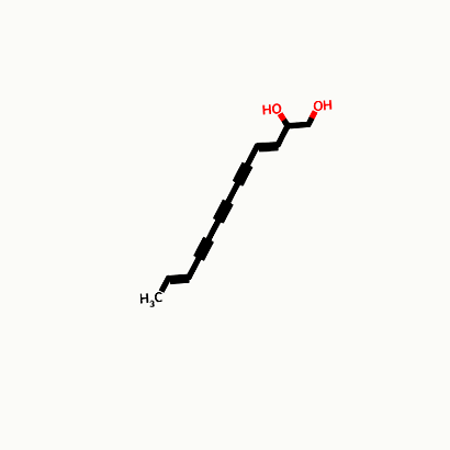 CC=CC#CC#CC#CC=CC(O)CO